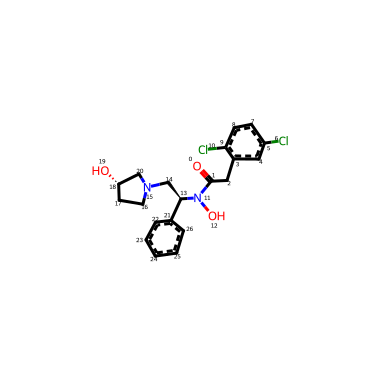 O=C(Cc1cc(Cl)ccc1Cl)N(O)[C@H](CN1CC[C@H](O)C1)c1ccccc1